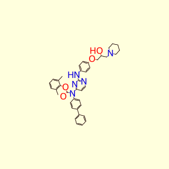 Cc1cccc(C)c1OC(=O)N(c1ccc(-c2ccccc2)cc1)c1ccnc(Nc2ccc(OCC(O)CN3CCCCC3)cc2)n1